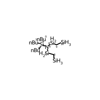 CCCC[Si](CCCC)(CCCC)N([SiH2]C[SiH3])[SiH2]C[SiH3]